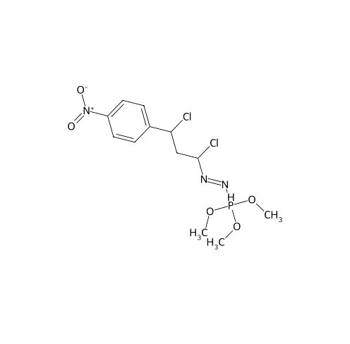 CO[PH](N=NC(Cl)CC(Cl)c1ccc([N+](=O)[O-])cc1)(OC)OC